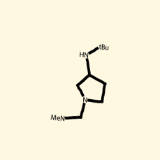 CNCN1CCC(NC(C)(C)C)C1